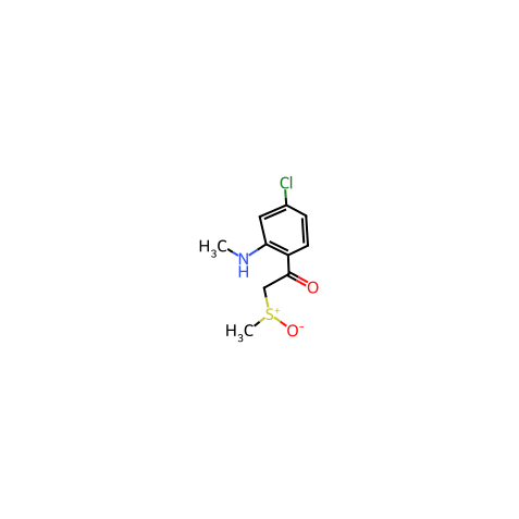 CNc1cc(Cl)ccc1C(=O)C[S+](C)[O-]